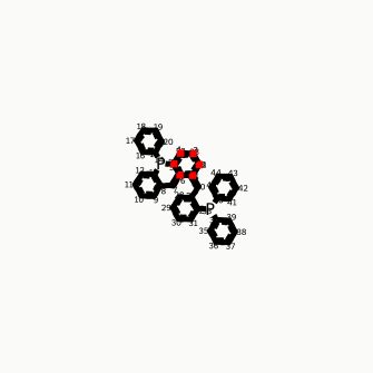 C(=C1\CCCC\C1=C/c1ccccc1P(c1ccccc1)c1ccccc1)/c1ccccc1P(c1ccccc1)c1ccccc1